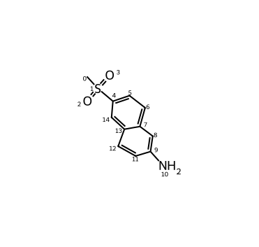 CS(=O)(=O)c1ccc2cc(N)ccc2c1